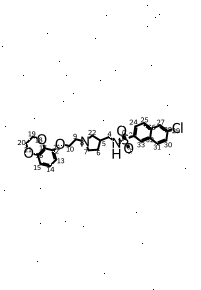 O=S(=O)(NCC1CCN(CCOc2cccc3c2OCCO3)C1)c1ccc2cc(Cl)ccc2c1